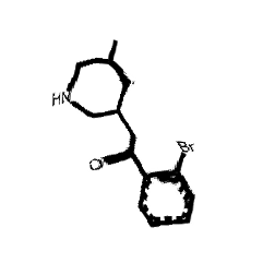 CC1[CH]C(CC(=O)c2ccccc2Br)CNC1